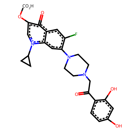 O=C(O)Oc1cn(C2CC2)c2cc(N3CCN(CC(=O)c4ccc(O)cc4O)CC3)c(F)cc2c1=O